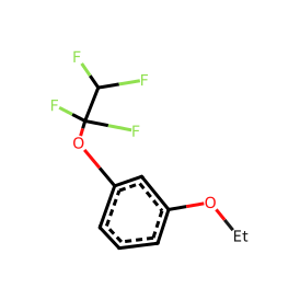 CCOc1cccc(OC(F)(F)C(F)F)c1